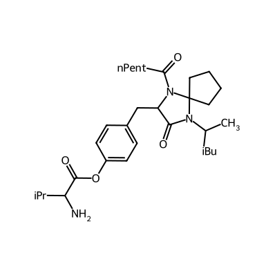 CCCCCC(=O)N1C(Cc2ccc(OC(=O)C(N)C(C)C)cc2)C(=O)N(C(C)C(C)CC)C12CCCC2